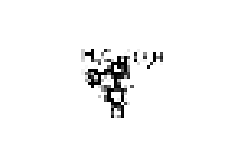 Cc1c(-c2cnoc2)c(-c2ccc(Cl)cc2)nn1C(=O)O